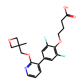 CC1(COc2ncccc2-c2cc(F)c(OCCCC(=O)O)c(F)c2)COC1